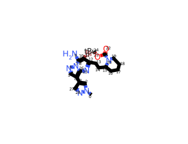 Cn1cc(-c2cnn3c(N)c(Br)c(CCC4CCCCN4C(=O)OC(C)(C)C)nc23)cn1